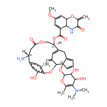 C=C1OC2C=C(OC)C=C(C(=O)O[C@@H]3COC(=O)C[C@@H](N)c4cc(O)c(c(Cl)c4)OC4C(=C)C=C3CC3=CC=C[C@@]34OC3OC(C)=C(N(C)C)C(O)C3O)C2NC1=O